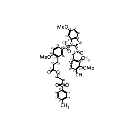 COc1ccc2nc([S+]([O-])Cc3ncc(C)c(OC)c3C)n(S(=O)(=O)c3ccc(OC)c(CCC(=O)OCCS(=O)(=O)c4ccc(C)cc4)c3)c2c1